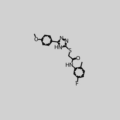 COc1ccc(-c2nnc(SCC(=O)Nc3cc(F)ccc3C)[nH]2)cc1